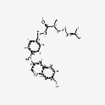 CC(C)=NOCC(C)C(=O)OOc1ccc(Oc2cnc3cc(F)ccc3n2)cc1